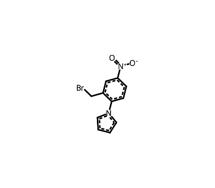 O=[N+]([O-])c1ccc(-n2cccc2)c(CBr)c1